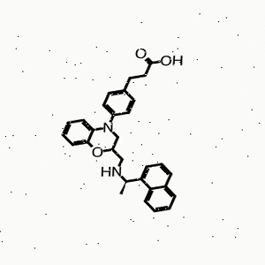 C[C@@H](NCC1CN(c2ccc(CCC(=O)O)cc2)c2ccccc2O1)c1cccc2ccccc12